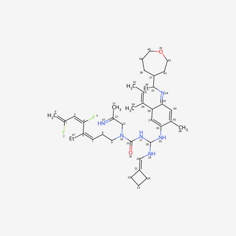 C=C(F)/C=C(F)\C(=C/CCN(CC(C)=N)C(=O)NC(NC=C1CCC1)NC1=CC(/C(C)=C/C)/C(=N\C(CC)C2CCCOCC2)C=C1C)CC